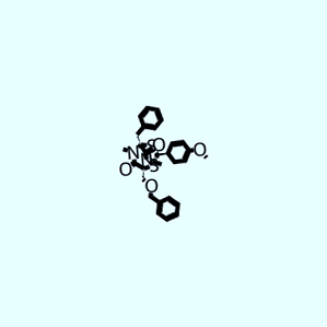 COC1=CC[C@@H](C2S[C@@]3(COCc4ccccc4)C(=O)N(C)[C@@](Cc4ccccc4)(S2)C(=O)N3C)C=C1